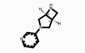 c1cncc(N2C[C@@H]3CN[C@@H]3C2)c1